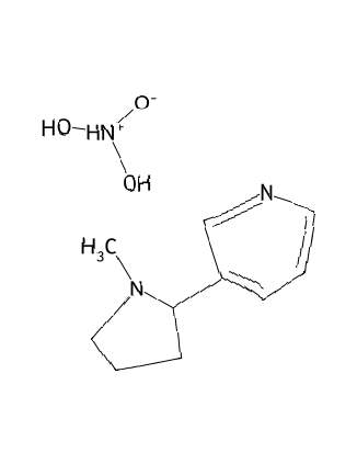 CN1CCCC1c1cccnc1.[O-][NH+](O)O